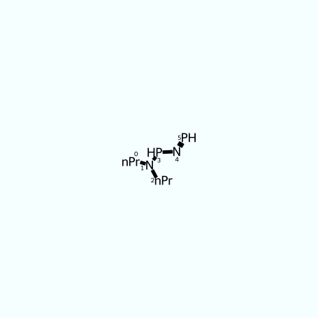 CCCN(CCC)PN=P